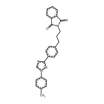 Cc1ccc(-n2cnc(-c3ccc(CCCN4C(=O)c5ccccc5C4=O)cc3)n2)cc1